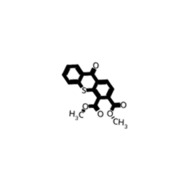 COC(=O)c1ccc2c(=O)c3ccccc3sc2c1C(=O)OC